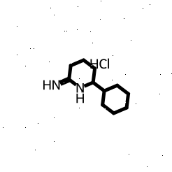 Cl.N=C1CCCC(C2CCCCC2)N1